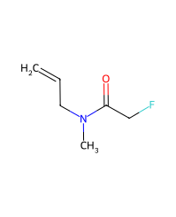 C=CCN(C)C(=O)CF